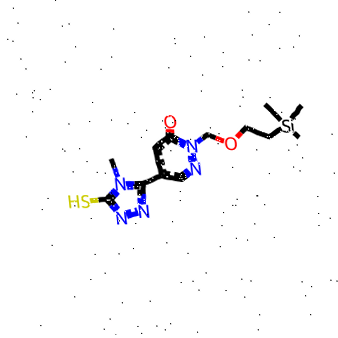 Cn1c(S)nnc1-c1cnn(COCC[Si](C)(C)C)c(=O)c1